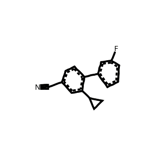 N#Cc1ccc(-c2cccc(F)c2)c(C2CC2)c1